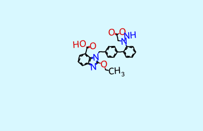 CCOc1nc2cccc(C(=O)O)c2n1Cc1ccc(-c2ccccc2N2CC(=O)ON2)cc1